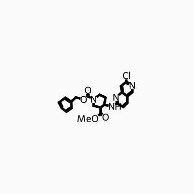 COC(=O)C1CN(C(=O)OCc2ccccc2)CCC1Nc1ccc2cnc(Cl)cc2n1